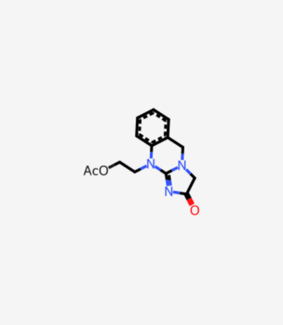 CC(=O)OCCN1C2=NC(=O)CN2Cc2ccccc21